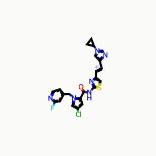 O=C(Nc1nc(/C=C/c2cn(C3CC3)cn2)cs1)c1cc(Cl)cn1Cc1ccnc(F)c1